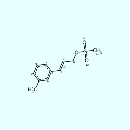 Cc1cccc(/C=C/COS(C)(=O)=O)c1